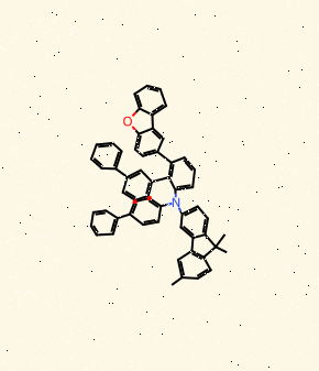 Cc1ccc2c(c1)-c1cc(N(c3ccc(-c4ccccc4)cc3)c3cccc(-c4ccc5oc6ccccc6c5c4)c3-c3cccc(-c4ccccc4)c3)ccc1C2(C)C